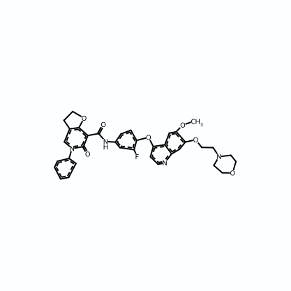 COc1cc2c(Oc3ccc(NC(=O)c4c5c(cn(-c6ccccc6)c4=O)CCO5)cc3F)ccnc2cc1OCCN1CCOCC1